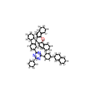 c1ccc(-c2nc(-c3ccc(-c4ccc5ccccc5c4)cc3)nc(-c3ccc4c(c3)C3(c5ccccc5-4)c4ccc5ccccc5c4Oc4c3ccc3ccccc43)n2)cc1